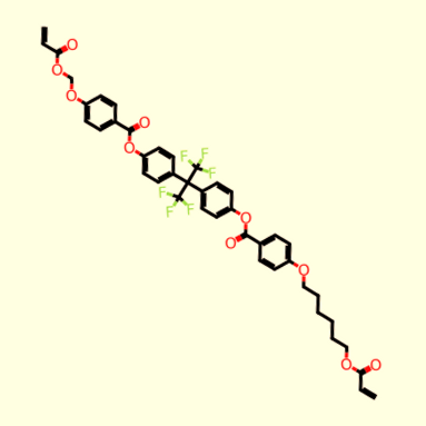 C=CC(=O)OCCCCCCOc1ccc(C(=O)Oc2ccc(C(c3ccc(OC(=O)c4ccc(OCOC(=O)C=C)cc4)cc3)(C(F)(F)F)C(F)(F)F)cc2)cc1